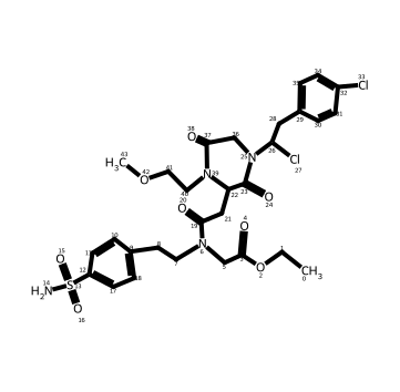 CCOC(=O)CN(CCc1ccc(S(N)(=O)=O)cc1)C(=O)CC1C(=O)N(C(Cl)Cc2ccc(Cl)cc2)CC(=O)N1CCOC